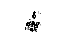 NCc1ccc(COc2cc(C3CN(C(=O)N4CCC(O)C4)CCC3C(F)(F)F)nn2C(=O)c2ccccc2Cl)cc1